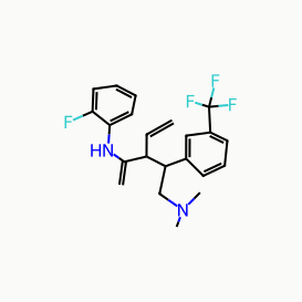 C=CC(C(=C)Nc1ccccc1F)C(CN(C)C)c1cccc(C(F)(F)F)c1